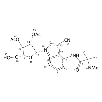 CNC(C)(C)C(=O)Nc1ncnc2c1c(C#N)cn2[C@@H]1O[C@H](CO)C(OC(C)=O)[C@@H]1OC(C)=O